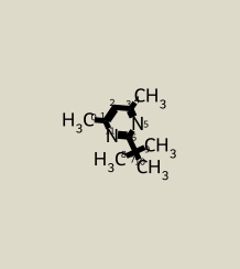 Cc1cc(C)nc(C(C)(C)C)n1